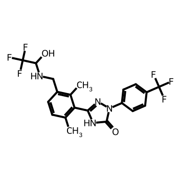 Cc1ccc(CNC(O)C(F)(F)F)c(C)c1-c1nn(-c2ccc(C(F)(F)F)cc2)c(=O)[nH]1